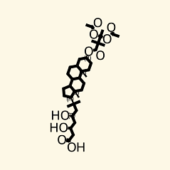 CC(=O)OC(C)(OC(C)=O)C(C)(C)C(=O)O[C@@H]1CC[C@@]2(C)C(CCC3C2CC[C@@]2(C)C3CC[C@@H]2C(C)(C)C[C@@H](O)CC(O)CC(=O)O)C1